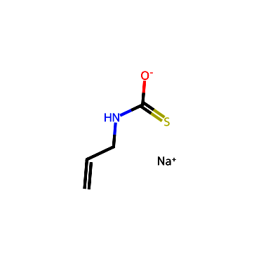 C=CCNC([O-])=S.[Na+]